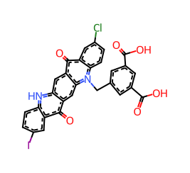 O=C(O)c1cc(Cn2c3ccc(Cl)cc3c(=O)c3cc4[nH]c5ccc(I)cc5c(=O)c4cc32)cc(C(=O)O)c1